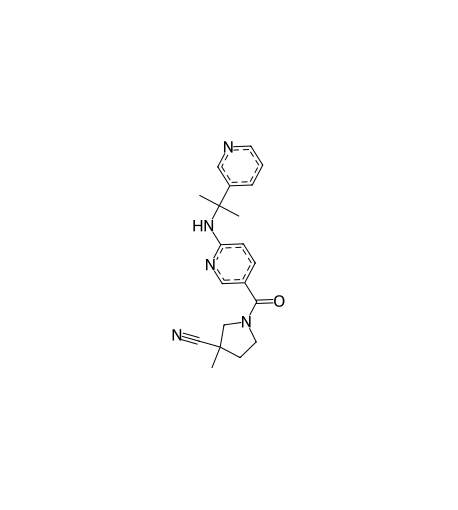 CC1(C#N)CCN(C(=O)c2ccc(NC(C)(C)c3cccnc3)nc2)C1